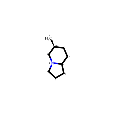 C[C@H]1CCC2CCCN2C1